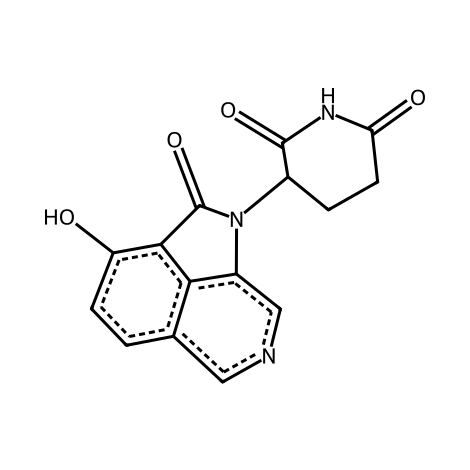 O=C1CCC(N2C(=O)c3c(O)ccc4cncc2c34)C(=O)N1